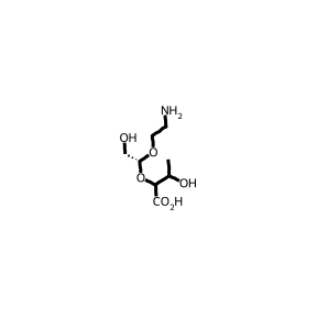 CC(O)C(O[C@H](CO)OCCN)C(=O)O